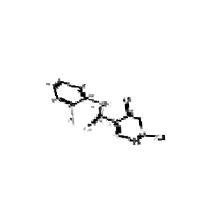 O=C1CC(Cl)=NC=C1C(=O)Nc1ccccc1F